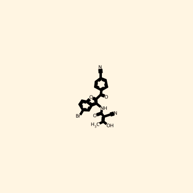 C/C(O)=C(/C#N)C(=O)Nc1c(C(=O)c2ccc(C#N)cc2)oc2ccc(Br)cc12